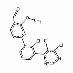 COc1nc(-c2cccc(-c3ncnc(Cl)c3Cl)c2Cl)ccc1C=O